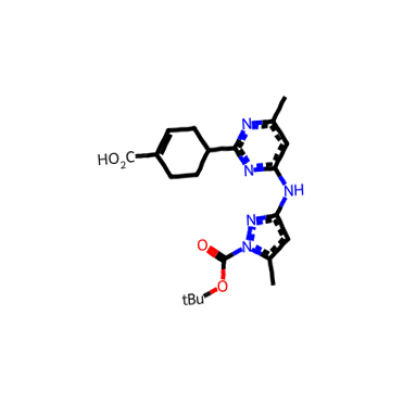 Cc1cc(Nc2cc(C)n(C(=O)OC(C)(C)C)n2)nc(C2CC=C(C(=O)O)CC2)n1